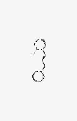 Brc1ccccc1C=CCc1ccccc1